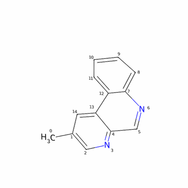 Cc1cnc2cnc3ccccc3c2c1